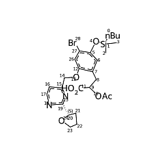 CCCC[Si](C)(C)Oc1cc(CC(OC(C)=O)C(=O)O)c(OCc2ccnc([C@@H]3CCCO3)n2)cc1Br